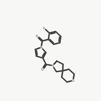 O=C(c1ccn(C(=O)c2ccccc2F)c1)N1CCC2(CCOCC2)C1